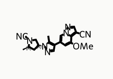 COc1cc(-c2cnn([C@@H]3C[C@@H](C)N(C#N)C3)c2C)cn2ncc(C#N)c12